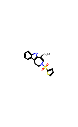 CCOC(=O)C1=CN(S(=O)(=O)c2cccs2)CCc2c1[nH]c1ccccc21